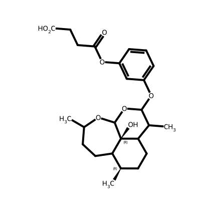 CC1CCC2[C@H](C)CCC3C(C)C(Oc4cccc(OC(=O)CCC(=O)O)c4)OC(O1)[C@]32O